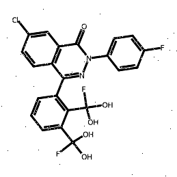 O=c1c2cc(Cl)ccc2c(-c2cccc(C(O)(O)F)c2C(O)(O)F)nn1-c1ccc(F)cc1